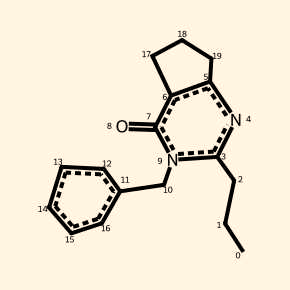 CCCc1nc2c(c(=O)n1Cc1ccccc1)CCC2